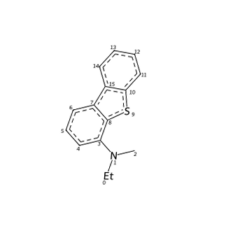 CCN(C)c1cccc2c1sc1ccccc12